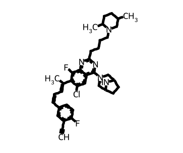 C#Cc1cc(/C=C\C=C(/C)c2c(Cl)cc3c(N4CC5CCC(C4)N5)nc(CCCCN4CC(C)CCC4C)nc3c2F)ccc1F